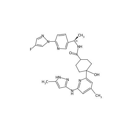 Cc1cc(Nc2cc(C)[nH]n2)nc(C2(O)CCC(C(=O)N[C@H](C)c3ccc(-n4cc(F)cn4)nc3)CC2)c1